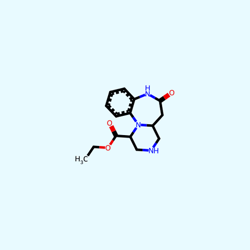 CCOC(=O)C1CNCC2CC(=O)Nc3ccccc3N21